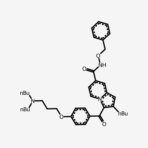 CCCCc1cc2cc(C(=O)NOCc3ccccc3)ccn2c1C(=O)c1ccc(OCCCN(CCCC)CCCC)cc1